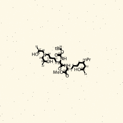 CCCC(CCCC[C@@H](NC(=O)[C@@H](CCCCN(C[C@H](C)O)C[C@H](C)O)NC(=O)OC(C)(C)C)C(=O)OC)C[C@@H](C)O